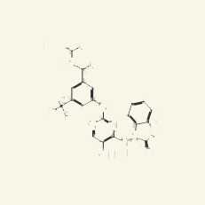 Cc1cnc(Nc2cc(C(C)NC(C)C)cc(C(F)(F)F)c2)nc1Nn1c(=O)oc2ccccc21